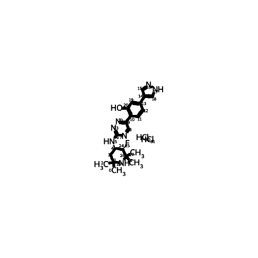 CC1(C)C[C@H](Nc2ncc(-c3ccc(-c4cn[nH]c4)cc3O)nn2)[C@H](F)C(C)(C)N1.Cl.Cl